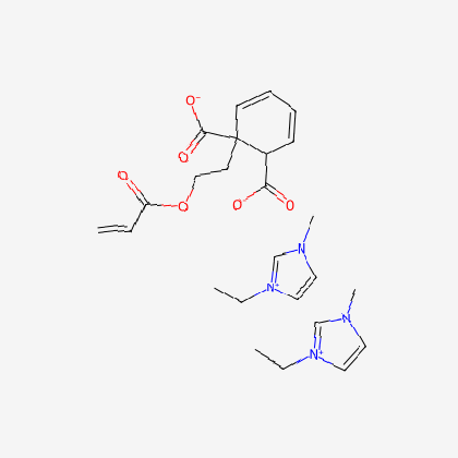 C=CC(=O)OCCC1(C(=O)[O-])C=CC=CC1C(=O)[O-].CC[n+]1ccn(C)c1.CC[n+]1ccn(C)c1